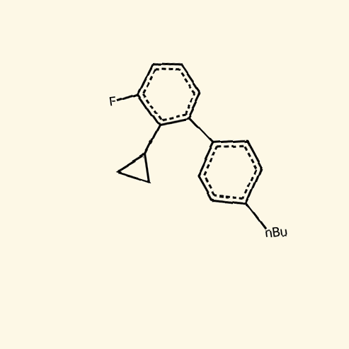 CCCCc1ccc(-c2cccc(F)c2C2CC2)cc1